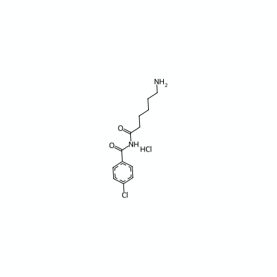 Cl.NCCCCCC(=O)NC(=O)c1ccc(Cl)cc1